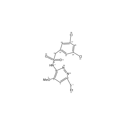 CCSc1cc(OC)c(NS(=O)(=O)Cc2cc(Cl)cc(Cl)c2)nn1